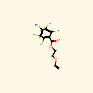 C=COCCOC(=O)c1c(F)c(F)c(F)c(F)c1F